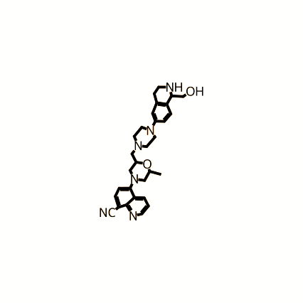 CC1CN(c2ccc(C#N)c3ncccc23)CC(CN2CCN(c3ccc4c(c3)CCNC4CO)CC2)O1